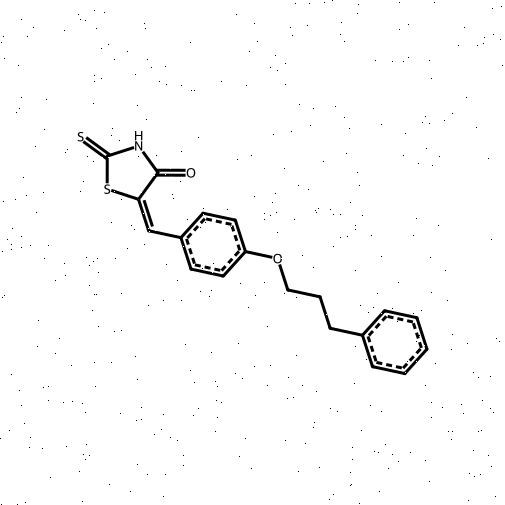 O=C1NC(=S)SC1=Cc1ccc(OCCCc2ccccc2)cc1